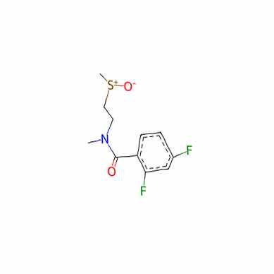 CN(CC[S+](C)[O-])C(=O)c1ccc(F)cc1F